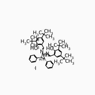 CC(C)(C)c1cc(C=[N][Mn]2([N]=Cc3cc(C(C)(C)C)cc(C(C)(C)C)c3O)[C@H](c3ccccc3)[C@H]2c2ccccc2)c(O)c(C(C)(C)C)c1.[I]